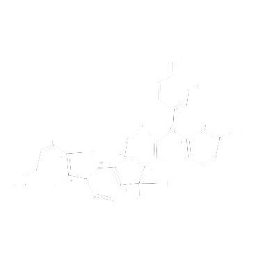 C=C/C=C\C(=C/C)N(c1cccc(C)c1)c1ccc2c(c1)C(C)(C)c1ccc3c(C)c(/C=C\C=C)sc3c1-2